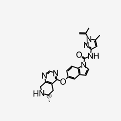 C=C(C)n1nc(NC(=O)n2ccc3cc(Oc4ncnc5c4C[C@H](C)NC5)ccc32)cc1C